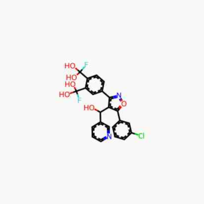 OC(c1cccnc1)c1c(-c2ccc(C(O)(O)F)c(C(O)(O)F)c2)noc1-c1cccc(Cl)c1